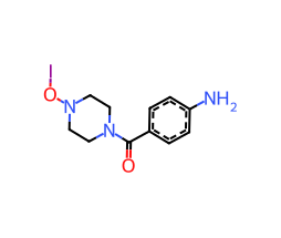 Nc1ccc(C(=O)N2CCN(OI)CC2)cc1